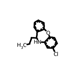 CCCC1Nc2cc(Cl)ccc2Oc2ccccc21